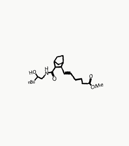 CCCCC(O)CNC(=O)C1C2CCC(C2)C1C=CCCCC(=O)OC